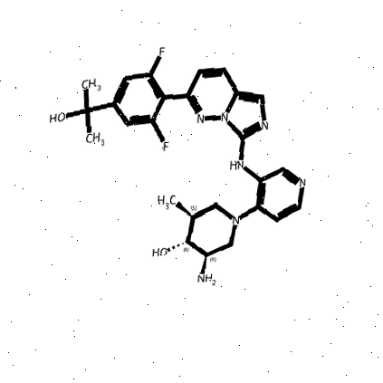 C[C@H]1CN(c2ccncc2Nc2ncc3ccc(-c4c(F)cc(C(C)(C)O)cc4F)nn23)C[C@@H](N)[C@@H]1O